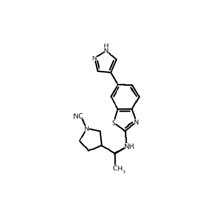 CC(Nc1nc2ccc(-c3cn[nH]c3)cc2s1)C1CCN(C#N)C1